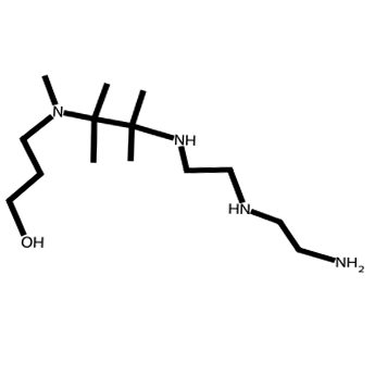 CN(CCCO)C(C)(C)C(C)(C)NCCNCCN